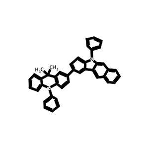 CC1(C)c2ccccc2N(c2ccccc2)c2ccc(-c3ccc4c(c3)c3cc5ccccc5cc3n4-c3ccccc3)cc21